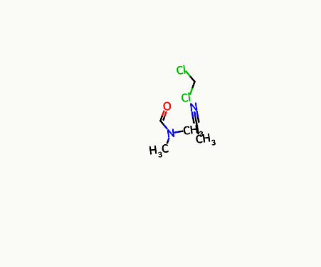 CC#N.CN(C)C=O.ClCCl